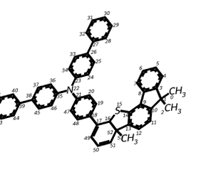 CC1(C)c2ccccc2-c2c1ccc1c2SC2C(c3ccc(N(c4ccc(-c5ccccc5)cc4)c4ccc(-c5ccccc5)cc4)cc3)=CC=CC12C